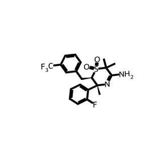 CC1(C)C(N)=N[C@](C)(c2ccccc2F)[C@@H](Cc2cccc(C(F)(F)F)c2)S1(=O)=O